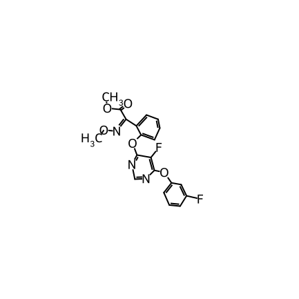 CON=C(C(=O)OC)c1ccccc1Oc1ncnc(Oc2cccc(F)c2)c1F